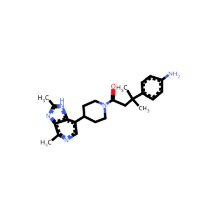 Cc1nc2c(C)ncc(C3CCN(C(=O)CC(C)(C)c4ccc(N)cc4)CC3)c2[nH]1